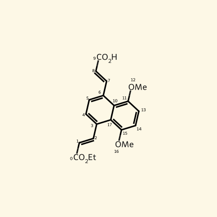 CCOC(=O)C=Cc1ccc(C=CC(=O)O)c2c(OC)ccc(OC)c12